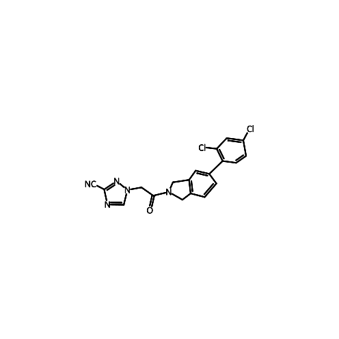 N#Cc1ncn(CC(=O)N2Cc3ccc(-c4ccc(Cl)cc4Cl)cc3C2)n1